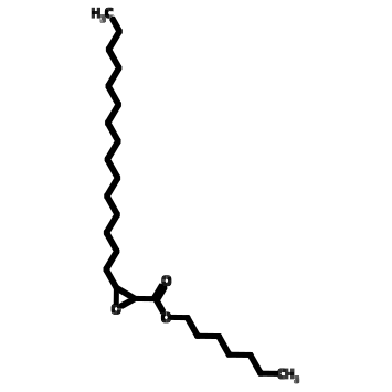 CCCCCCCCCCCCCCCC1OC1C(=O)OCCCCCCC